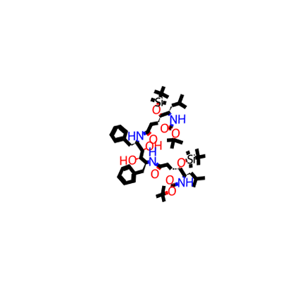 CC(C)C[C@H](NC(=O)OC(C)(C)C)[C@H](CCC(=O)N[C@@H](Cc1ccccc1)[C@H](O)[C@@H](O)[C@H](Cc1ccccc1)NC(=O)CC[C@H](O[Si](C)(C)C(C)(C)C)[C@H](CC(C)C)NC(=O)OC(C)(C)C)O[Si](C)(C)C(C)(C)C